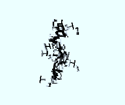 Cc1cc(Cn2c(=O)c3c(ncn3[C@@H](C)C(=O)Nc3csc(-c4cnc(C)c(C(C)(F)F)c4)n3)n(C)c2=O)no1